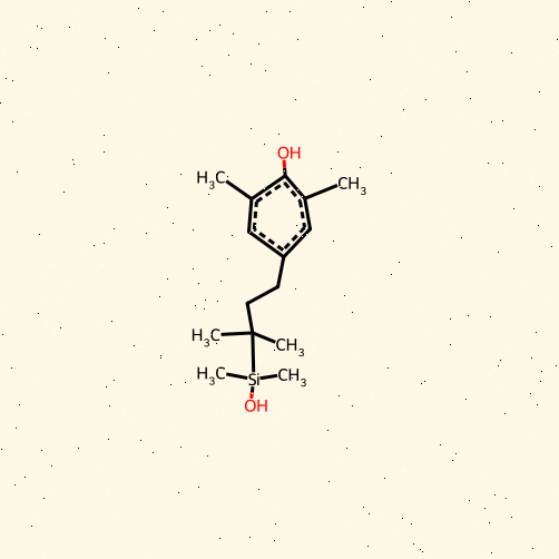 Cc1cc(CCC(C)(C)[Si](C)(C)O)cc(C)c1O